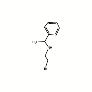 CC(NCCBr)c1ccccc1